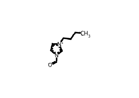 CCCC[n+]1ccn(C=O)c1